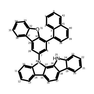 c1ccc2c(-c3cc(-n4c5ccccc5c5ccc6c7ccccc7[nH]c6c54)cc4c3oc3ccccc34)cccc2c1